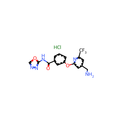 Cl.NCc1cc(Oc2cccc(C(=O)Nc3nnco3)c2)nc(C(F)(F)F)c1